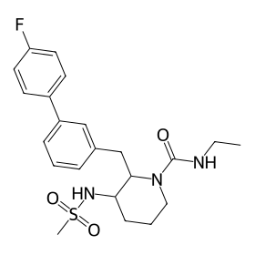 CCNC(=O)N1CCCC(NS(C)(=O)=O)C1Cc1cccc(-c2ccc(F)cc2)c1